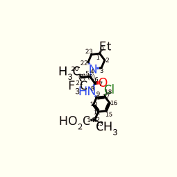 CCC1CCN([C@@H](C(=O)Nc2cc(C(C)C(=O)O)ccc2Cl)[C@@H](C)C(F)(F)F)CC1